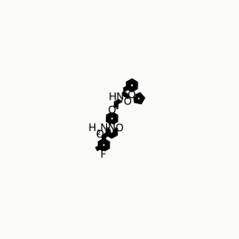 Cc1cc(C(=O)c2ccc(=O)n(-c3ccc(OCCCN[C@@H](Cc4ccccc4)C(=O)OC4CCCC4)cc3)c2N)ccc1F